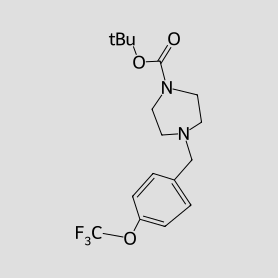 CC(C)(C)OC(=O)N1CCN(Cc2ccc(OC(F)(F)F)cc2)CC1